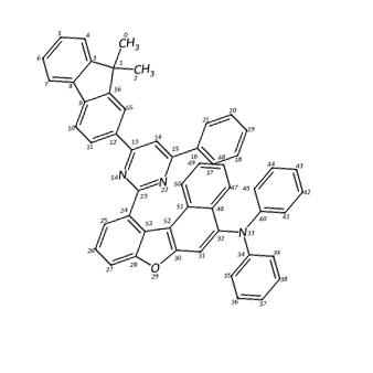 CC1(C)c2ccccc2-c2ccc(-c3cc(-c4ccccc4)nc(-c4cccc5oc6cc(N(c7ccccc7)c7ccccc7)c7ccccc7c6c45)n3)cc21